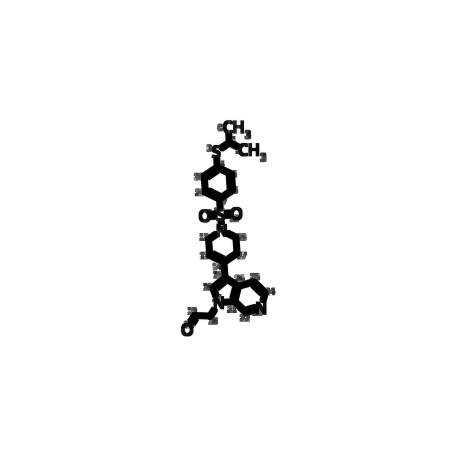 CC(C)Sc1ccc(S(=O)(=O)N2CC=C(c3cn(CC=O)c4cnccc34)CC2)cc1